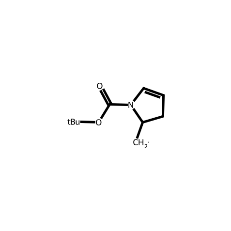 [CH2]C1CC=CN1C(=O)OC(C)(C)C